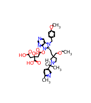 CCOCC1(CC[C@@H]2N(Cc3ccc(OC)cc3)c3cncnc3N2OC(=O)CC(O)(CC(=O)O)C(=O)O)CCN(C(C)(C)c2ccc(C)nc2)C1